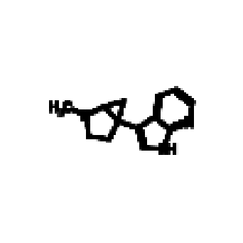 CN1CCC2(c3c[nH]c4ncccc34)CC12